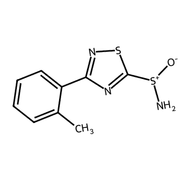 Cc1ccccc1-c1nsc([S+](N)[O-])n1